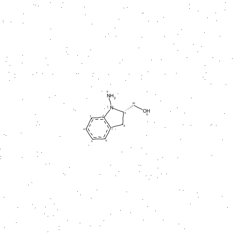 NN1c2ccccc2C[C@H]1CO